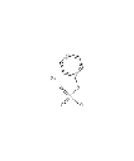 CC(C)S(=O)(=O)Oc1ccccc1.[Zn]